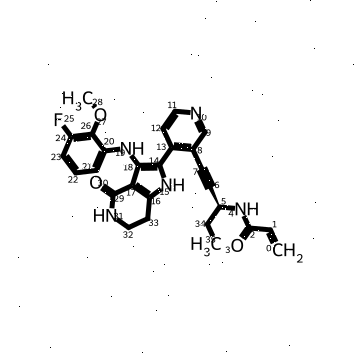 C=CC(=O)N[C@H](C#Cc1cnccc1-c1[nH]c2c(c1Nc1cccc(F)c1OC)C(=O)NCC2)CC